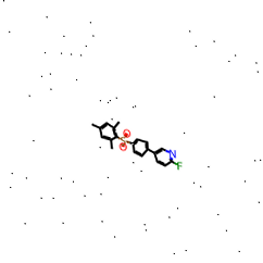 Cc1cc(C)c(S(=O)(=O)c2ccc(-c3ccc(F)nc3)cc2)c(C)c1